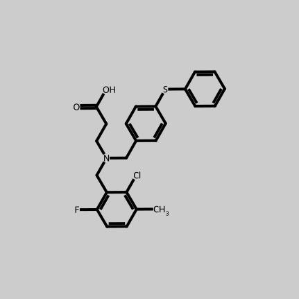 Cc1ccc(F)c(CN(CCC(=O)O)Cc2ccc(Sc3ccccc3)cc2)c1Cl